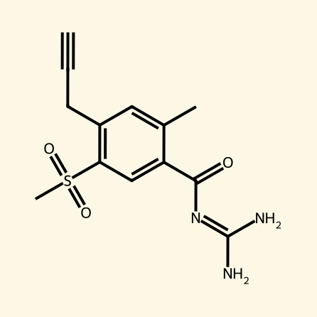 C#CCc1cc(C)c(C(=O)N=C(N)N)cc1S(C)(=O)=O